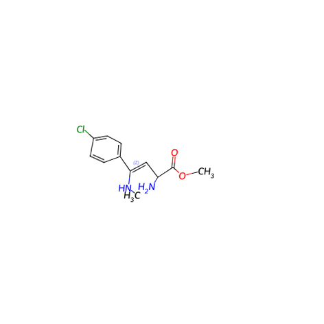 CN/C(=C\C(N)C(=O)OC)c1ccc(Cl)cc1